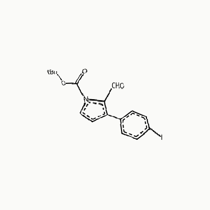 CC(C)(C)OC(=O)n1ccc(-c2ccc(I)cc2)c1C=O